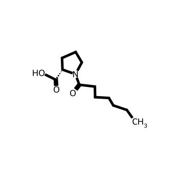 CCCCCCC(=O)N1CCC[C@H]1C(=O)O